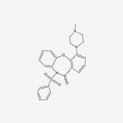 CN1CCN(c2cccc3c2Oc2ccccc2N(S(=O)(=O)c2ccccc2)C3=O)CC1